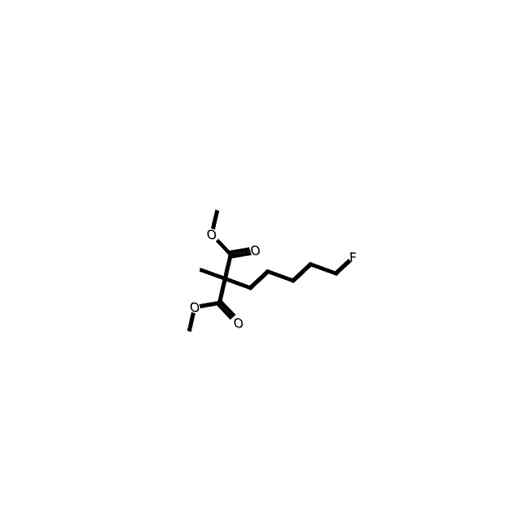 COC(=O)C(C)(CCCCCF)C(=O)OC